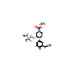 CC(C)(C)OC(=O)N1CC[C@@H](c2ccc(F)c(CC#N)c2)[C@H](CO[Si](C)(C)C(C)(C)C)C1